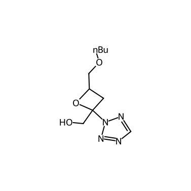 CCCCOCC1CC(CO)(n2ncnn2)O1